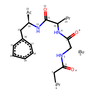 CC[C@H](C)C(NC(=O)CC(C)C)C(=O)NC(C(=O)N[C@@H](Cc1ccccc1)C(C)=O)C(C)C